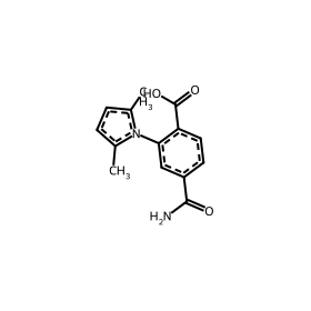 Cc1ccc(C)n1-c1cc(C(N)=O)ccc1C(=O)O